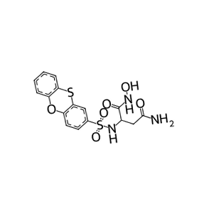 NC(=O)CC(NS(=O)(=O)c1ccc2c(c1)Sc1ccccc1O2)C(=O)NO